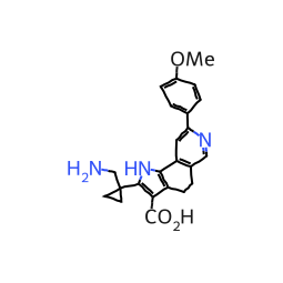 COc1ccc(-c2cc3c(cn2)CCc2c-3[nH]c(C3(CN)CC3)c2C(=O)O)cc1